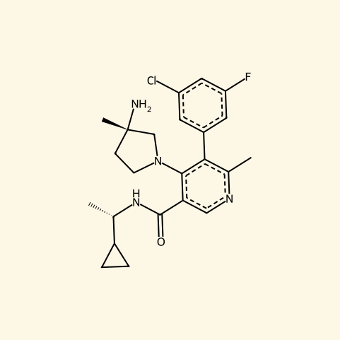 Cc1ncc(C(=O)N[C@@H](C)C2CC2)c(N2CC[C@](C)(N)C2)c1-c1cc(F)cc(Cl)c1